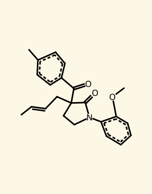 CC=CCC1(C(=O)c2ccc(C)cc2)CCN(c2ccccc2OC)C1=O